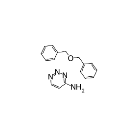 Nc1ccnnn1.c1ccc(COCc2ccccc2)cc1